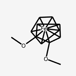 CO[C]12[CH]3[CH]4[CH]5[C]1(OC)[Fe]43521678[CH]2[CH]1[CH]6[CH]7[CH]28